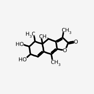 CC1=C2CC3(C)C(=CC(O)C(O)C3C)C(C)=C2OC1=O